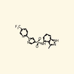 Cc1n[nH]c2cccc(NS(=O)(=O)c3cnn(-c4ccc(C(F)(F)F)cn4)c3)c12